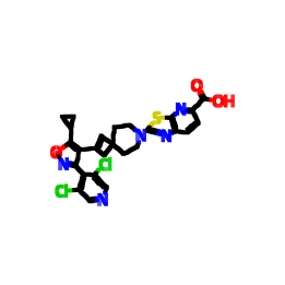 O=C(O)c1ccc2nc(N3CCC4(C=C(c5c(-c6c(Cl)cncc6Cl)noc5C5CC5)C4)CC3)sc2n1